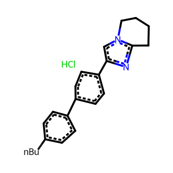 CCCCc1ccc(-c2ccc(-c3cn4c(n3)CCCC4)cc2)cc1.Cl